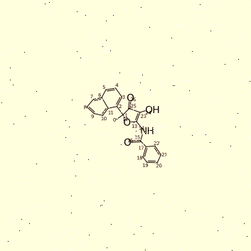 CC1(c2cccc3ccccc23)OC(NC(=O)c2ccccc2)=C(O)C1=O